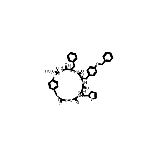 O=C1CCC(=O)N[C@H](CC2CC=CS2)C(=O)N[C@@H](Cc2ccc(OCc3ccccc3)cc2)C(=O)N[C@H](Cc2ccccc2)C(=O)N[C@H](C(=O)O)Cc2ccc(cc2)N1